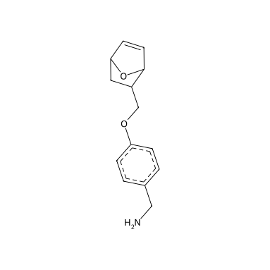 NCc1ccc(OCC2CC3C=CC2O3)cc1